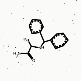 CCC(C)C(NC(c1ccccc1)c1ccccc1)C(N)=O